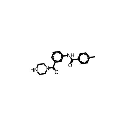 Cc1ccc(C(=O)Nc2c[c]cc(C(=O)N3CCNCC3)c2)cc1